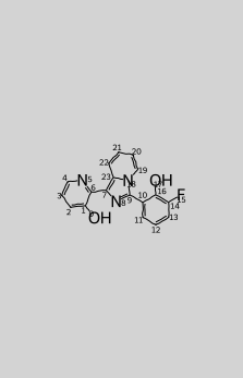 Oc1cccnc1-c1nc(-c2cccc(F)c2O)n2ccccc12